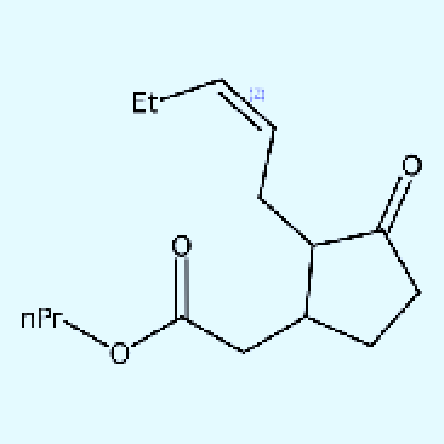 [CH2][CH]COC(=O)CC1CCC(=O)C1C/C=C\CC